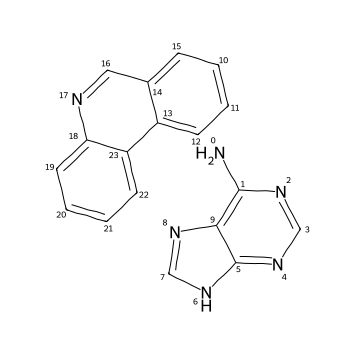 Nc1ncnc2[nH]cnc12.c1ccc2c(c1)cnc1ccccc12